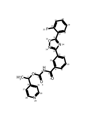 CC(OC(=O)NC(=O)c1cccc(-c2noc(-c3ccccc3F)n2)c1)c1ccncc1